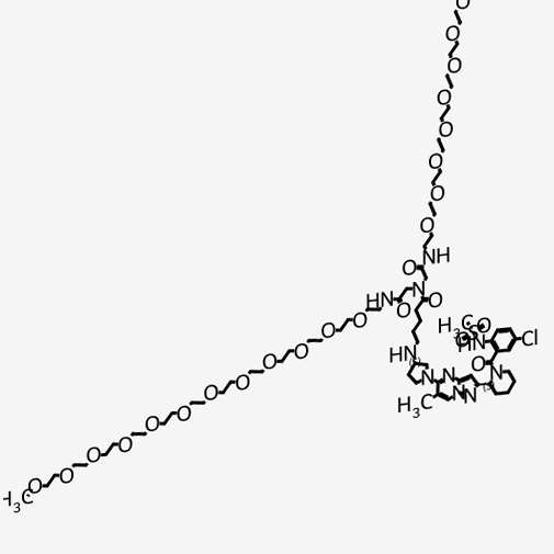 C#CCOCCOCCOCCOCCOCCOCCOCCOCCNC(=O)CN(CC(=O)NCCOCCOCCOCCOCCOCCOCCOCCOCCOCCOCCOCCOC)C(=O)CCCCN[C@H]1CCN(c2nc3cc([C@@H]4CCCCN4C(=O)c4cc(Cl)ccc4NS(C)(=O)=O)nn3cc2C)C1